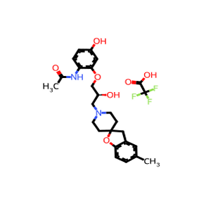 CC(=O)Nc1ccc(O)cc1OC[C@@H](O)CN1CCC2(CC1)Cc1cc(C)ccc1O2.O=C(O)C(F)(F)F